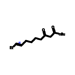 CC/C=C/CCCCC(=O)CC(=O)CCCC